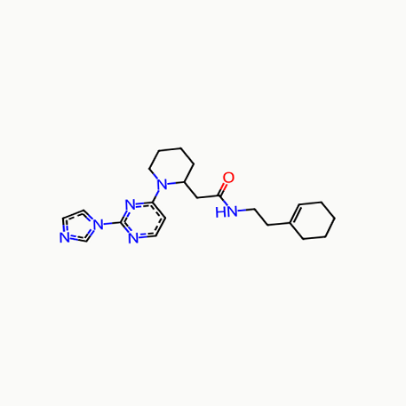 O=C(CC1CCCCN1c1ccnc(-n2ccnc2)n1)NCCC1=CCCCC1